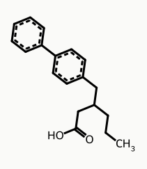 CCCC(CC(=O)O)Cc1ccc(-c2ccccc2)cc1